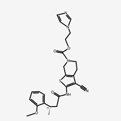 COc1ccccc1[C@@H](C)CC(=O)Nc1sc2c(c1C#N)CCN(C(=O)OCCn1ccnc1)C2